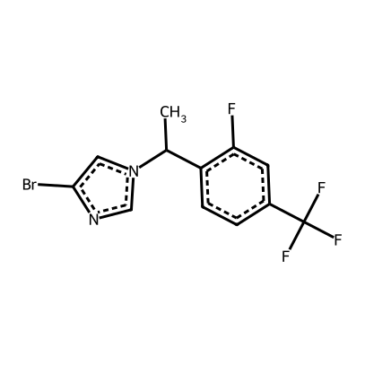 CC(c1ccc(C(F)(F)F)cc1F)n1cnc(Br)c1